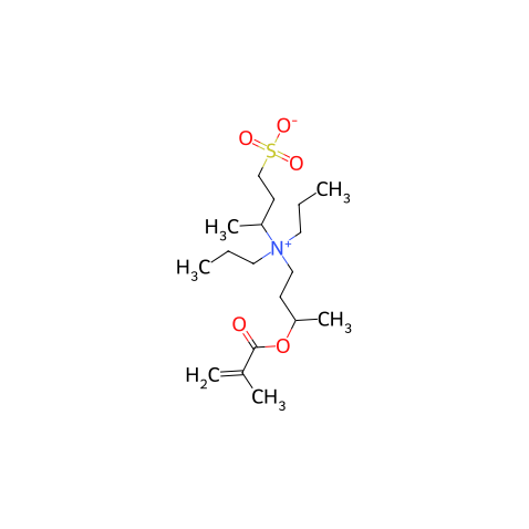 C=C(C)C(=O)OC(C)CC[N+](CCC)(CCC)C(C)CCS(=O)(=O)[O-]